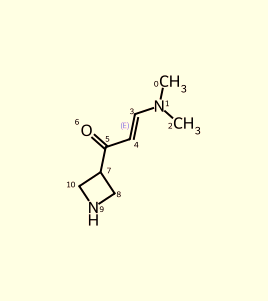 CN(C)/C=C/C(=O)C1CNC1